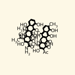 CC(=O)C1=C(O)[C@H](N)[C@@H]2Cc3c(c(O)c4c(O)c(C)ccc4c3C)C(=O)[C@]2(O)C1=O.CN(C)[C@@H]1C(O)=C(C(N)=O)C(=O)[C@@]2(O)C(O)=C3C(=O)c4c(O)cccc4[C@@](C)(O)[C@H]3C[C@@H]12